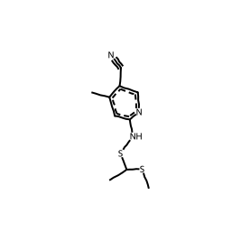 CSC(C)SNc1cc(C)c(C#N)cn1